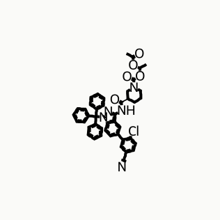 CC(=O)OC(C)OC(=O)N1CCC[C@@H](C(=O)Nc2nn(C(c3ccccc3)(c3ccccc3)c3ccccc3)c3ccc(-c4cc(C#N)ccc4Cl)cc23)C1